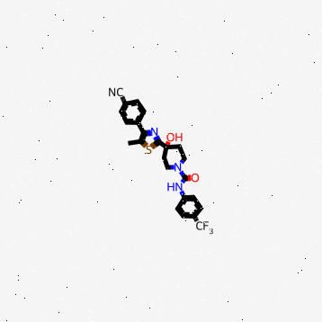 Cc1sc(C2(O)CCN(C(=O)Nc3ccc(C(F)(F)F)cc3)CC2)nc1-c1ccc(C#N)cc1